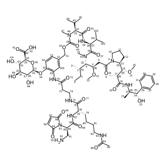 CC[C@H](C)[C@@H]([C@@H](CC(=O)N1CCC[C@H]1[C@H](OC)[C@@H](C)C(=O)N[C@H](C)[C@@H](O)c1ccccc1)OC)N(C)C(=O)[C@@H](NC(=O)[C@H](C(C)C)N(C)C(=O)OCc1ccc(O[C@@H]2O[C@H](C(=O)O)[C@@H](O)[C@H](O)[C@H]2O)c(NC(=O)CCNC(=O)[C@H](CCCCNC(C)=O)NC(=O)[C@@H](CN)N2C(=O)C=CC2=O)c1)C(C)C